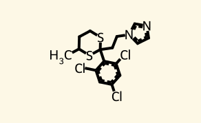 CC1CCSC(CCn2ccnc2)(c2c(Cl)cc(Cl)cc2Cl)S1